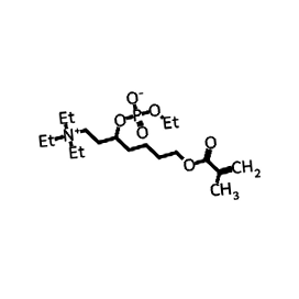 C=C(C)C(=O)OCCCCC(CC[N+](CC)(CC)CC)OP(=O)([O-])OCC